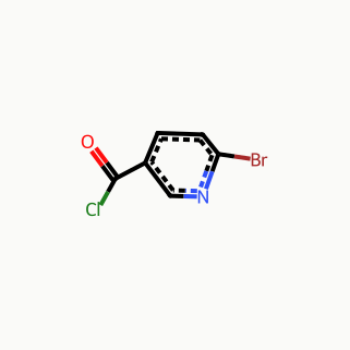 O=C(Cl)c1ccc(Br)nc1